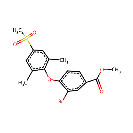 COC(=O)c1ccc(Oc2c(C)cc(S(C)(=O)=O)cc2C)c(Br)c1